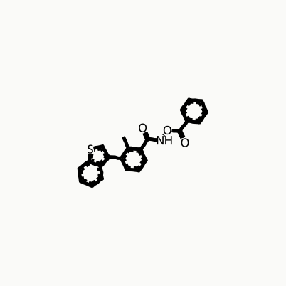 Cc1c(C(=O)NOC(=O)c2ccccc2)cccc1-c1csc2ccccc12